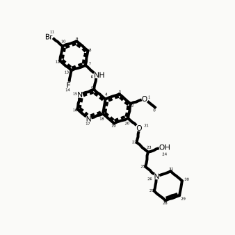 COc1cc2c(Nc3ccc(Br)cc3F)ncnc2cc1OCC(O)CN1CC=CCC1